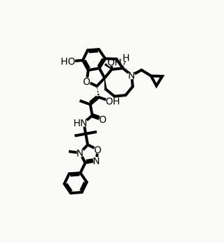 C/C(C(=O)NC(C)(C)C1ON=C(c2ccccc2)N1C)=C(/O)[C@@H]1Oc2c(O)ccc3c2[C@@]12CCCCN(CC1CC1)[C@H](C3)[C@@]2(C)O